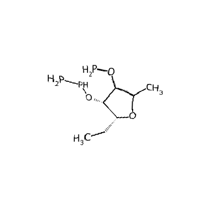 CC[C@H]1OC(C)C(OP)[C@H]1OPP